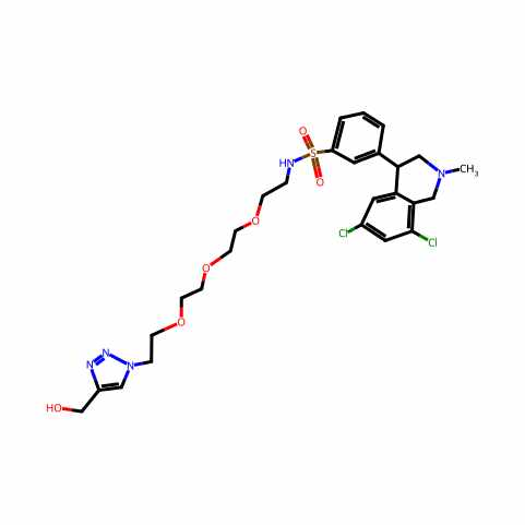 CN1Cc2c(Cl)cc(Cl)cc2C(c2cccc(S(=O)(=O)NCCOCCOCCOCCn3cc(CO)nn3)c2)C1